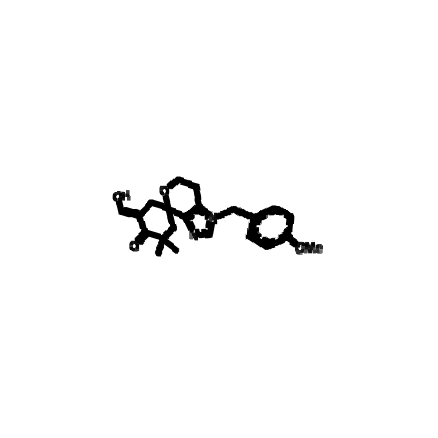 COc1ccc(Cn2cnc3c2CCOC32CC(=CO)C(=O)C(C)(C)C2)cc1